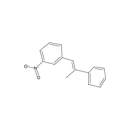 C/C(=C\c1cccc([N+](=O)[O-])c1)c1ccccc1